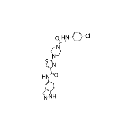 O=C(Nc1ccc2[nH]ncc2c1)c1csc(N2CCN(C(=O)CNc3ccc(Cl)cc3)CC2)n1